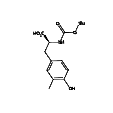 Cc1cc(C[C@H](NC(=O)OC(C)(C)C)C(=O)O)ccc1O